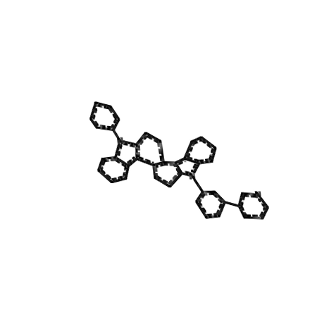 c1ccc(-n2c3ccccc3c3c4ccc5c(c4ccc32)c2ccccc2n5-c2cccc(-c3cccnc3)c2)cc1